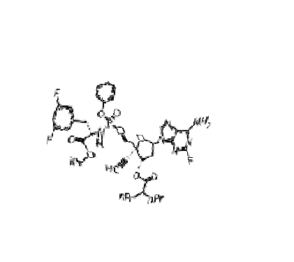 C#C[C@]1(CO[P@@](=O)(N[C@@H](Cc2cc(F)cc(F)c2)C(=O)OC(C)C)Oc2ccccc2)O[C@@H](n2cnc3c(N)nc(F)nc32)C[C@@H]1OC(=O)C(CCC)CCC